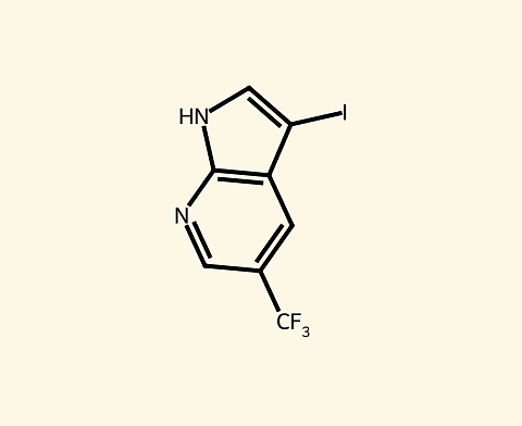 FC(F)(F)c1cnc2[nH]cc(I)c2c1